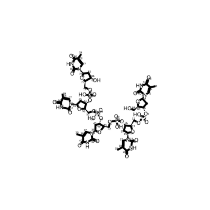 Cc1cn([C@H]2C[C@H](OP(=O)(O)OC[C@H]3O[C@@H](n4cc(C)c(=O)[nH]c4=O)C[C@@H]3OP(=O)(O)OC[C@H]3O[C@@H](n4cc(C)c(=O)[nH]c4=O)C[C@@H]3OP(=O)(O)OC[C@H]3O[C@@H](n4cc(C)c(=O)[nH]c4=O)C[C@@H]3OP(=O)(O)OC[C@H]3O[C@@H](n4cc(C)c(=O)[nH]c4=O)C[C@@H]3O)[C@@H](CO)O2)c(=O)[nH]c1=O